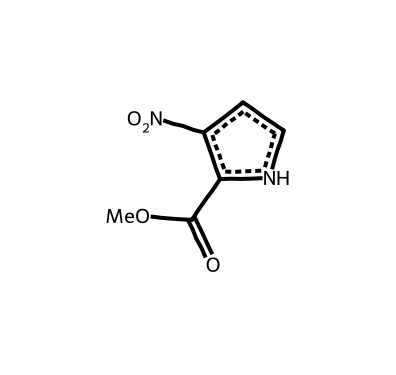 COC(=O)c1[nH]ccc1[N+](=O)[O-]